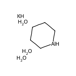 C1C[CH2][AlH][CH2]C1.O.O.O.[KH]